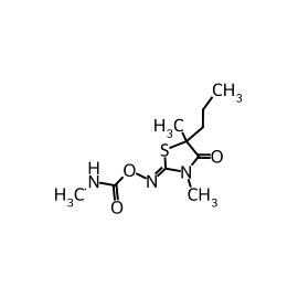 CCCC1(C)SC(=NOC(=O)NC)N(C)C1=O